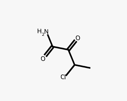 CC(Cl)C(=O)C(N)=O